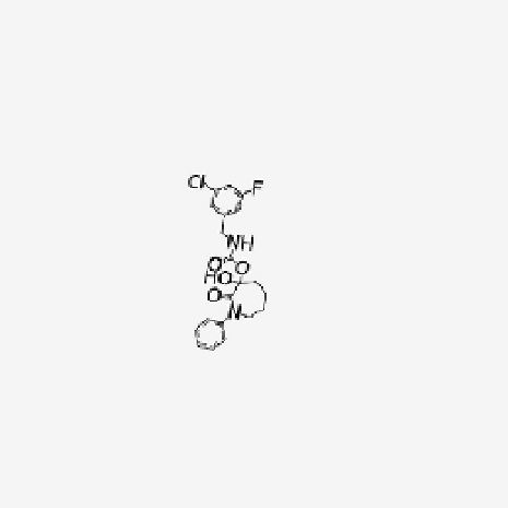 O=C(NCc1cc(F)cc(Cl)c1)OC1(O)CCCCN(c2ccccc2)C1=O